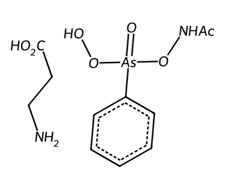 CC(=O)NO[As](=O)(OO)c1ccccc1.NCCC(=O)O